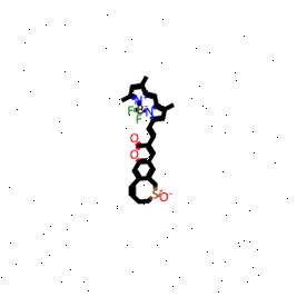 CC1=CC(C)=[N+]2C1=Cc1c(C)cc(/C=C/c3cc4cc5c(cc4oc3=O)C#CCC[S+]([O-])C5)n1[B-]2(F)F